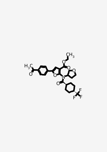 CCOC(=O)c1cc(-c2ccc(C(C)=O)cc2)oc1N(C(=O)[C@H]1CC[C@H](C(F)(F)F)CC1)C1CCOC1